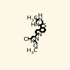 CCOCc1nc(Cl)cc(-c2ccc3c(ccc4sc5c(c43)NC[C@@H](C)NC5)n2)n1